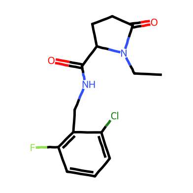 CCN1C(=O)CCC1C(=O)NCc1c(F)cccc1Cl